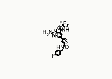 CC[C@H](NC(=O)c1cc(-c2csc(C(=O)NCc3ccc(F)cc3)c2)cn2nc(N)nc12)C(F)(F)F